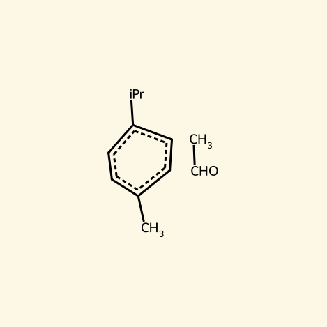 CC=O.Cc1ccc(C(C)C)cc1